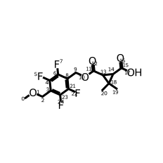 COCc1c(F)c(F)c(COC(=O)C2C(C(=O)O)C2(C)C)c(F)c1F